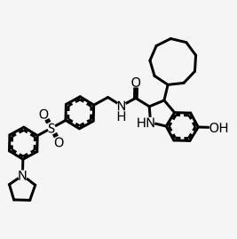 O=C(NCc1ccc(S(=O)(=O)c2cccc(N3CCCC3)c2)cc1)C1Nc2ccc(O)cc2C1C1CCCCCCCC1